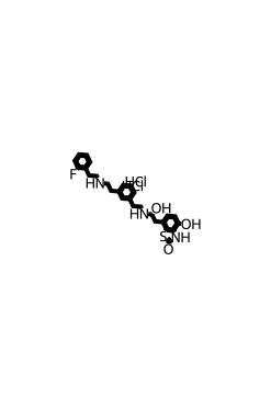 Cl.Cl.O=c1[nH]c2c(O)ccc(CC(O)NCCc3cccc(CCNCCc4ccccc4F)c3)c2s1